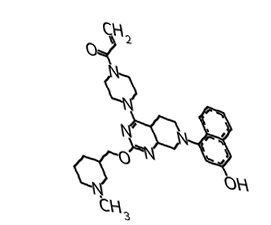 C=CC(=O)N1CCN(C2=NC(OCC3CCCN(C)C3)=NC3CN(c4cc(O)cc5ccccc45)CCC23)CC1